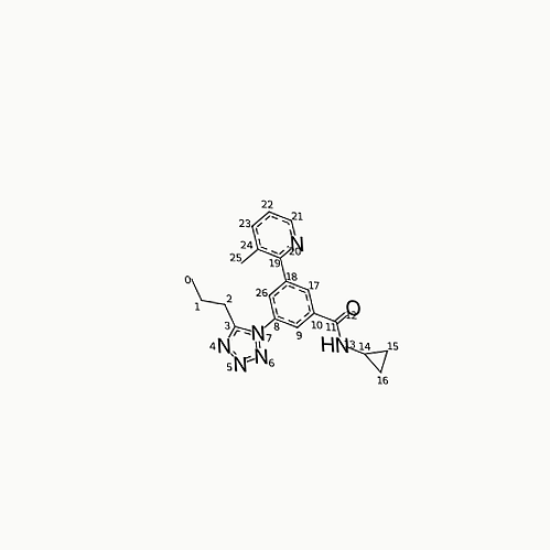 CCCc1nnnn1-c1cc(C(=O)NC2CC2)cc(-c2ncccc2C)c1